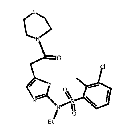 [CH2]CN(c1ncc(CC(=O)N2CCSCC2)s1)S(=O)(=O)c1cccc(Cl)c1C